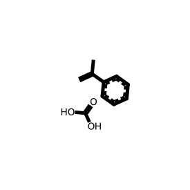 C=C(C)c1ccccc1.O=C(O)O